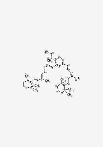 CC(C=CC1=C(C)CCCC1(C)C)=CC=CC(C)=Cc1cc(C=CC=C(C)C=CC2=C(C)CCCC2(C)C)cc[n+]1CCO